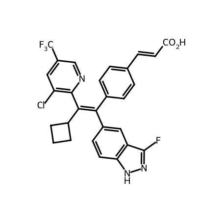 O=C(O)C=Cc1ccc(C(=C(c2ncc(C(F)(F)F)cc2Cl)C2CCC2)c2ccc3[nH]nc(F)c3c2)cc1